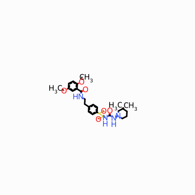 COc1ccc(OC)c(C(=O)NCCc2ccc(S(=O)(=O)NC(=O)NN3CCCC(C)(C)C3)cc2)c1